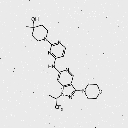 CC(n1nc(N2CCOCC2)c2cnc(Nc3ccnc(N4CCC(C)(O)CC4)n3)cc21)C(F)(F)F